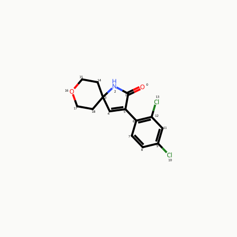 O=C1NC2(C=C1c1ccc(Cl)cc1Cl)CCOCC2